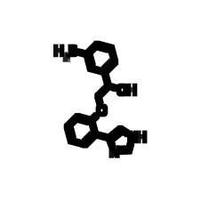 Bc1cccc(C(O)COc2ccccc2-c2c[nH]cn2)c1